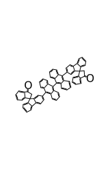 O=C1CC2(c3ccccc31)c1ccccc1-c1ccc(-c3c4ccccc4c(-c4c5ccccc5c(-c5ccc6c(c5)C5(CC(=O)c7ccccc75)c5ccccc5-6)c5ccccc45)c4ccccc34)cc12